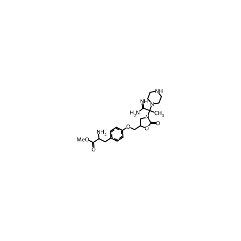 COC(=O)C(N)Cc1ccc(OCC2CN(C(C)(C(=N)N)N3CCNCC3)C(=O)O2)cc1